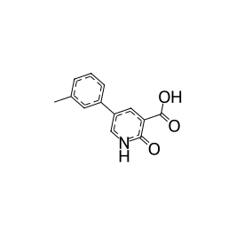 Cc1cccc(-c2c[nH]c(=O)c(C(=O)O)c2)c1